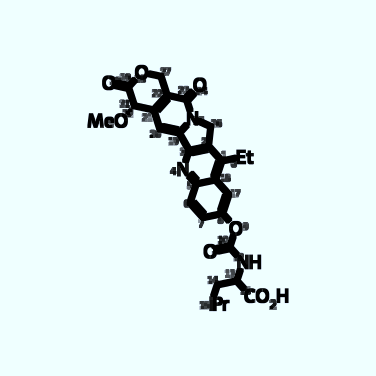 CCc1c2c(nc3ccc(OC(=O)NC(CC(C)C)C(=O)O)cc13)-c1cc3c(c(=O)n1C2)COC(=O)[C@H]3OC